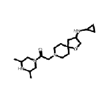 CC1CN(C(=O)CN2CCC3(CC2)CC(NC2CC2)CO3)CC(C)N1